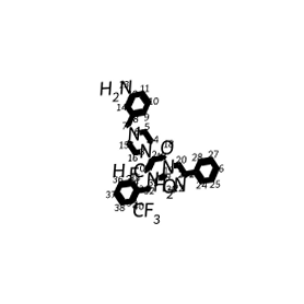 Cc1c(N2CCN(Cc3cccc(N)c3)CC2)c(=O)n(CC(N)c2ccccc2)c(=O)n1Cc1c(F)cccc1C(F)(F)F